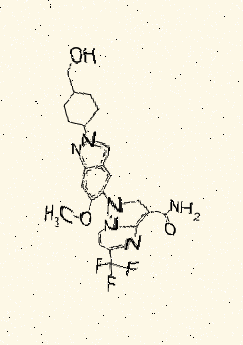 COc1cc2nn(C3CCC(CO)CC3)cc2cc1N1CC(C(N)=O)=C2N=C(C(F)(F)F)C=CN21